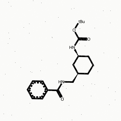 CC(C)(C)OC(=O)N[C@H]1CCC[C@@H](CNC(=O)c2ccccc2)C1